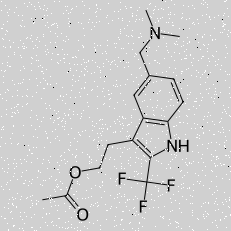 CC(=O)OCCc1c(C(F)(F)F)[nH]c2ccc(CN(C)C)cc12